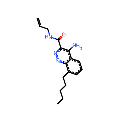 C=CCNC(=O)c1nnc2c(CCCCC)cccc2c1N